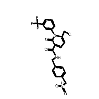 O=C(NCc1ccc(C[SH](=O)=O)cc1)c1ccc(CCl)n(-c2cccc(C(F)(F)F)c2)c1=O